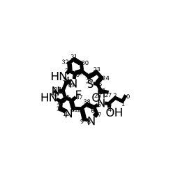 CCCC(O)Nc1cncc(-c2ncc3[nH]nc(-c4nc5c(-c6ccc(C(C)=O)s6)cccc5[nH]4)c3c2F)c1